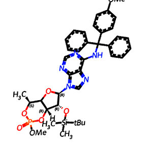 COc1ccc(C(Nc2ncnc3c2ncn3[C@@H]2OC3[C@H](C)OP(=O)(OC)O[C@H]3[C@H]2O[Si](C)(C)C(C)(C)C)(c2ccccc2)c2ccccc2)cc1